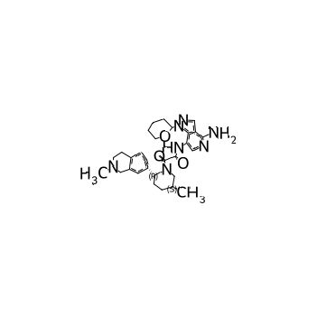 C[C@H]1CC[C@H](c2ccc3c(c2)CN(C)CC3)N(C(=O)C(=O)Nc2cnc(N)c3cnn(C4CCCCO4)c23)C1